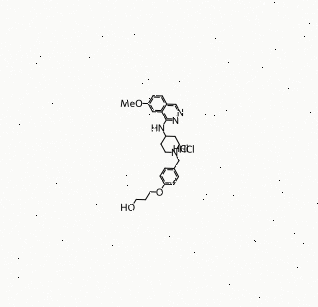 COc1ccc2cnnc(NC3CCN(Cc4ccc(OCCCO)cc4)CC3)c2c1.Cl.Cl